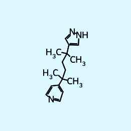 CC(C)(CCC(C)(C)c1cn[nH]c1)c1ccncc1